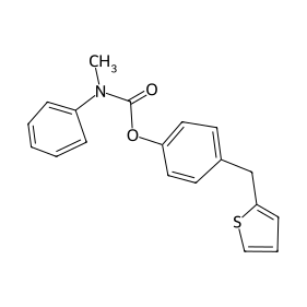 CN(C(=O)Oc1ccc(Cc2cccs2)cc1)c1ccccc1